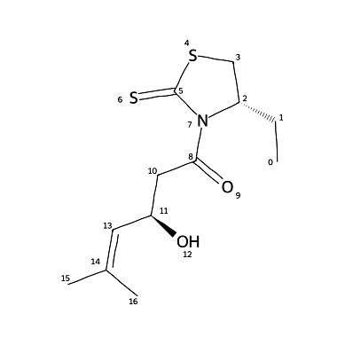 CC[C@H]1CSC(=S)N1C(=O)C[C@@H](O)C=C(C)C